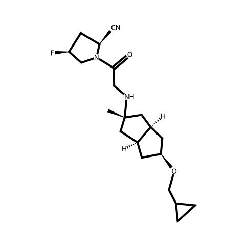 C[C@@]1(NCC(=O)N2C[C@@H](F)C[C@H]2C#N)C[C@H]2C[C@@H](OCC3CC3)C[C@H]2C1